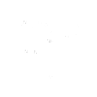 CC(=O)O[C@@H](C)C(=O)Nc1c(C(N)=O)cnn1C1CCOCC1